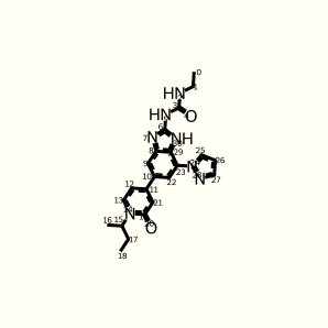 CCNC(=O)Nc1nc2cc(-c3ccn(C(C)CC)c(=O)c3)cc(-n3cccn3)c2[nH]1